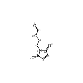 O=POCCN1C(=O)C=CC1=O